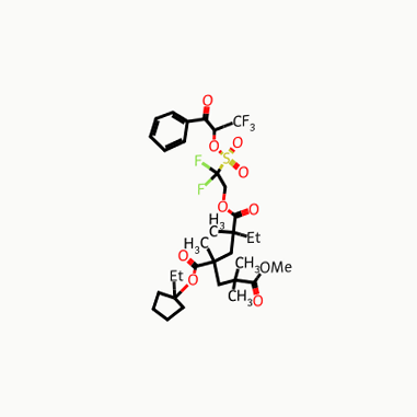 CCC1(OC(=O)C(C)(CC(C)(C)C(=O)OC)CC(C)(CC)C(=O)OCC(F)(F)S(=O)(=O)OC(C(=O)c2ccccc2)C(F)(F)F)CCCC1